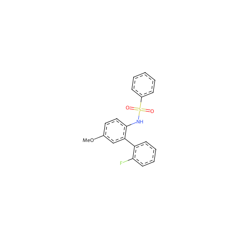 COc1ccc(NS(=O)(=O)c2ccccc2)c(-c2ccccc2F)c1